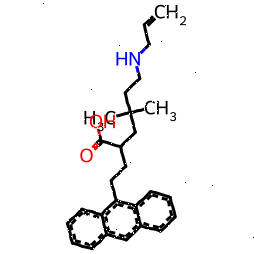 C=CCNCCC(C)(C)CC(CCc1c2ccccc2cc2ccccc12)C(=O)O